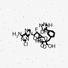 Nc1nc(Cl)nc2c1ncn2[C@@H]1O[C@@H]2C(OC(Cc3cccc(-c4nnn[nH]4)c3)(C(=O)O)C(=O)O)[C@]2(O)[C@@H]1F